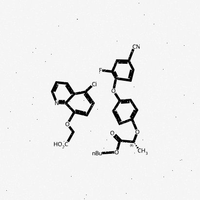 CCCCOC(=O)[C@@H](C)Oc1ccc(Oc2ccc(C#N)cc2F)cc1.O=C(O)COc1ccc(Cl)c2cccnc12